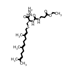 CCOC(=O)CCNC(=O)N[C@@H](CSC/C=C(\C)CC/C=C(\C)CCC=C(C)C)C(=O)NN